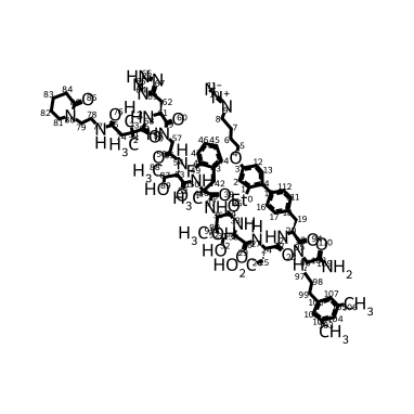 CCc1cc(OCCCCN=[N+]=[N-])ccc1-c1ccc(C[C@H](NC(=O)[C@H](CC(=O)O)NC(=O)[C@H](CO)NC(=O)[C@@H](NC(=O)[C@](C)(Cc2ccccc2F)NC(=O)[C@@H](NC(=O)CNC(=O)[C@H](Cc2nn[nH]n2)NC(=O)C(C)(C)CC(=O)NCCN2CCCCC2=O)[C@@H](C)O)[C@@H](C)O)C(=O)N[C@@H](CCCc2cc(C)cc(C)c2)C(N)=O)cc1